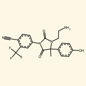 CC1(c2ccc(O)cc2)C(=O)N(c2ccc(C#N)c(C(F)(F)F)c2)C(=O)N1CCN